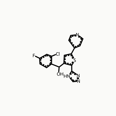 OC(c1ccc(F)cc1Cl)c1cc(-c2ccncc2)sc1-c1nnc[nH]1